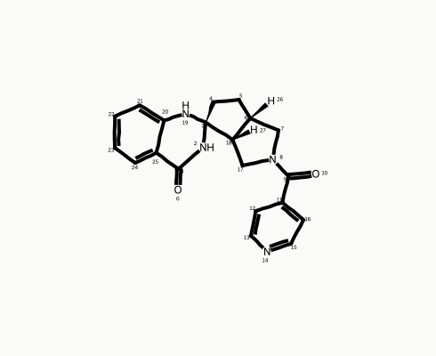 O=C1N[C@]2(CC[C@@H]3CN(C(=O)c4ccncc4)C[C@@H]32)Nc2ccccc21